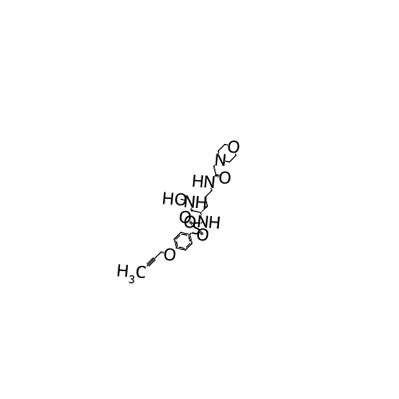 CC#CCOc1ccc(S(=O)(=O)N[C@H](CCCNC(=O)CN2CCOCC2)C(=O)NO)cc1